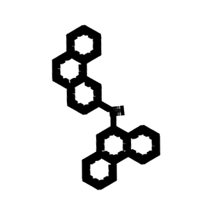 c1ccc2c(c1)ccc1ccc(Nc3cc4ccccc4c4ccccc34)cc12